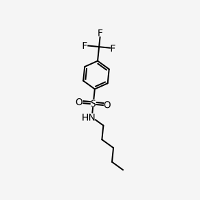 CCCCCNS(=O)(=O)c1ccc(C(F)(F)F)cc1